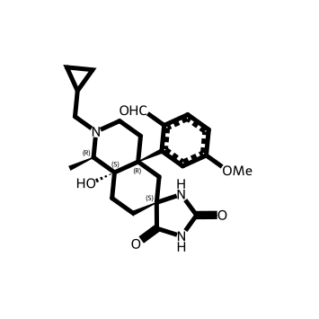 COc1ccc(C=O)c([C@]23CCN(CC4CC4)[C@H](C)[C@]2(O)CC[C@@]2(C3)NC(=O)NC2=O)c1